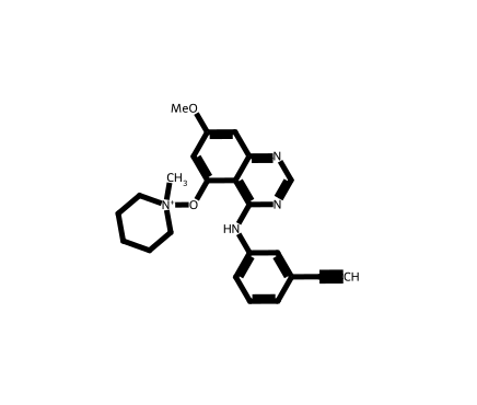 C#Cc1cccc(Nc2ncnc3cc(OC)cc(O[N+]4(C)CCCCC4)c23)c1